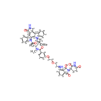 CO[C@@H]1[C@H](N(C)C(=O)c2cccc(OCCOCCNc3cccc4c3C(=O)N(C3CCC(=O)NC3=O)C4=O)c2)C[C@H]2O[C@]1(C)n1c3ccccc3c3c4c(c5c6ccccc6n2c5c31)C(=O)NC4